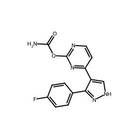 NC(=O)Oc1nccc(-c2c[nH]nc2-c2ccc(F)cc2)n1